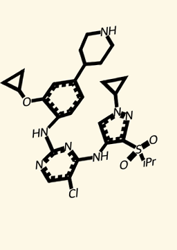 CC(C)S(=O)(=O)c1nn(C2CC2)cc1Nc1nc(Nc2ccc(C3CCNCC3)cc2OC2CC2)ncc1Cl